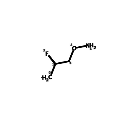 [CH2]C(F)CON